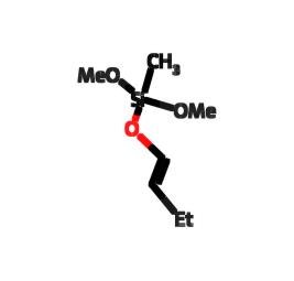 CCC=CO[Si](C)(OC)OC